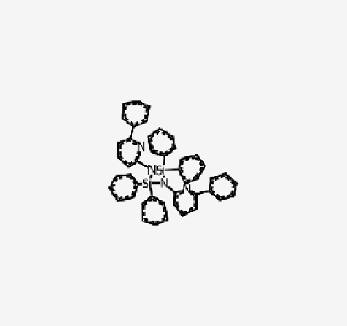 c1ccc(-c2cccc(N3[Si](c4ccccc4)(c4ccccc4)N(c4cccc(-c5ccccc5)n4)[Si]3(c3ccccc3)c3ccccc3)n2)cc1